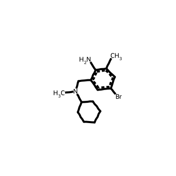 Cc1cc(Br)cc(CN(C)C2CCCCC2)c1N